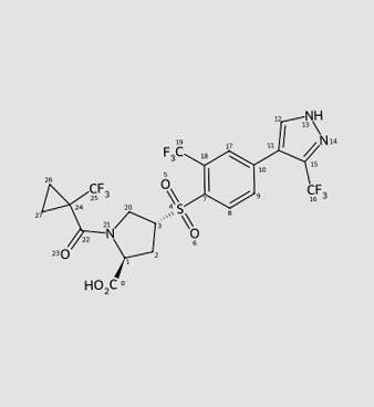 O=C(O)[C@@H]1C[C@@H](S(=O)(=O)c2ccc(-c3c[nH]nc3C(F)(F)F)cc2C(F)(F)F)CN1C(=O)C1(C(F)(F)F)CC1